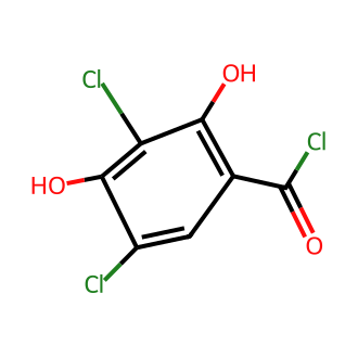 O=C(Cl)c1cc(Cl)c(O)c(Cl)c1O